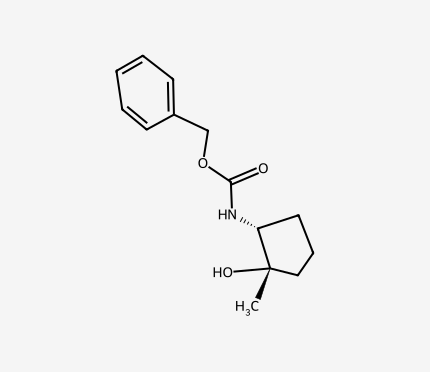 C[C@]1(O)CCC[C@H]1NC(=O)OCc1ccccc1